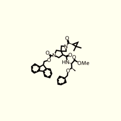 COC(=O)[C@@H](NC(=O)C1CN(C(=O)OCC2c3ccccc3-c3ccccc32)CC12CN(C(=O)[C@H]1CC1(C)C)C2)[C@@H](C)OCc1ccccc1